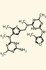 Cc1cocc1NC1=NC(C)N=C(N(C)Cc2cc(N(C)C3=NC(C)N=C(N)N3)c(C)s2)N1